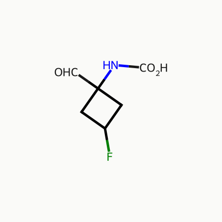 O=CC1(NC(=O)O)CC(F)C1